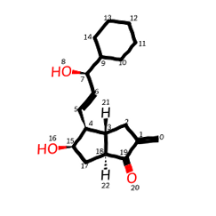 C=C1C[C@H]2[C@H](C=C[C@@H](O)C3CCCCC3)[C@H](O)C[C@@H]2C1=O